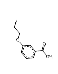 O=C(O)c1cccc(OCCI)c1